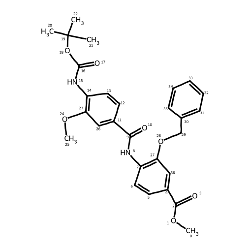 COC(=O)c1ccc(NC(=O)c2ccc(NC(=O)OC(C)(C)C)c(OC)c2)c(OCc2ccccc2)c1